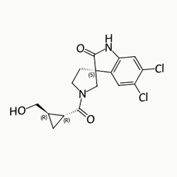 O=C([C@@H]1C[C@H]1CO)N1CC[C@]2(C1)C(=O)Nc1cc(Cl)c(Cl)cc12